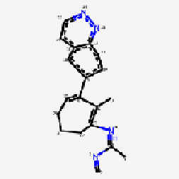 C=N/C(C)=N\C1=C(C)C(c2ccc3nnccc3c2)=CCCC1